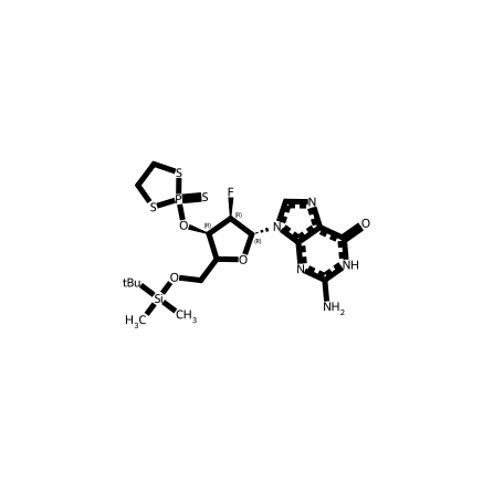 CC(C)(C)[Si](C)(C)OCC1O[C@@H](n2cnc3c(=O)[nH]c(N)nc32)[C@H](F)[C@@H]1OP1(=S)SCCS1